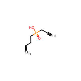 C#CCP(=O)(O)CCC=C